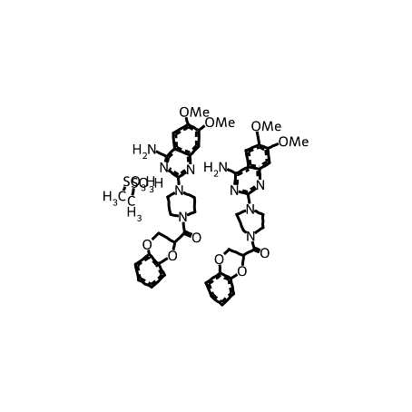 COc1cc2nc(N3CCN(C(=O)C4COc5ccccc5O4)CC3)nc(N)c2cc1OC.COc1cc2nc(N3CCN(C(=O)C4COc5ccccc5O4)CC3)nc(N)c2cc1OC.CS(=O)(=O)O.CS(=O)(=O)O